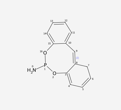 NP1OC2=CC=CC/C2=C/c2ccccc2O1